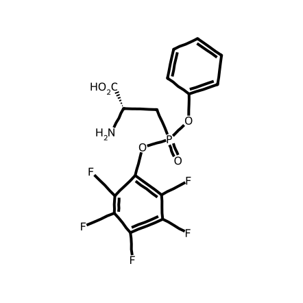 N[C@@H](CP(=O)(Oc1ccccc1)Oc1c(F)c(F)c(F)c(F)c1F)C(=O)O